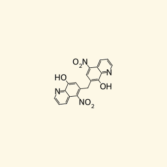 O=[N+]([O-])c1cc(Cc2cc(O)c3ncccc3c2[N+](=O)[O-])c(O)c2ncccc12